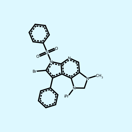 CC(C)N1CN(C)c2cnc3c(c(-c4ccccc4)c(Br)n3S(=O)(=O)c3ccccc3)c21